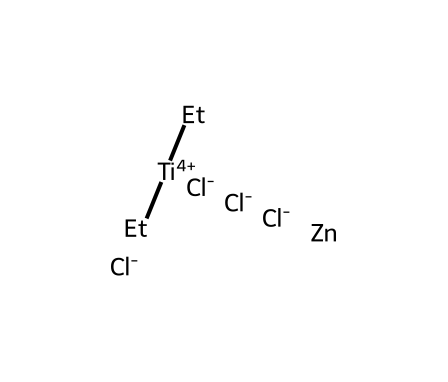 C[CH2][Ti+4][CH2]C.[Cl-].[Cl-].[Cl-].[Cl-].[Zn]